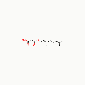 CC(C)=CCC/C(C)=C/COC(=O)CC(=O)O